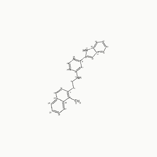 Cc1c(CCNc2cc(-c3cc4ccccc4[nH]3)ncn2)ccc2ccccc12